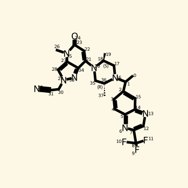 CC(c1ccc2nc(C(F)(F)F)cnc2c1)N1C[C@H](C)N(c2cc(=O)n(C)c3cn(CC#N)nc23)C[C@H]1C